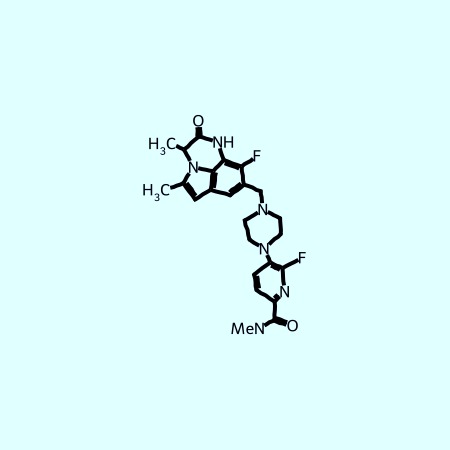 CNC(=O)c1ccc(N2CCN(Cc3cc4cc(C)n5c4c(c3F)NC(=O)C5C)CC2)c(F)n1